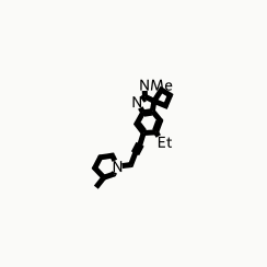 CCc1cc2c(cc1C#CCN1CCCC(C)C1)N=C(NC)C21CCC1